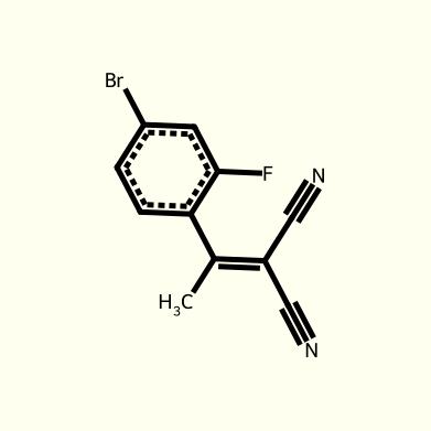 CC(=C(C#N)C#N)c1ccc(Br)cc1F